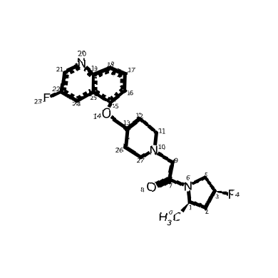 C[C@@H]1C[C@H](F)CN1C(=O)CN1CCC(Oc2cccc3ncc(F)cc23)CC1